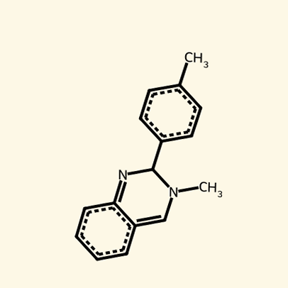 Cc1ccc(C2N=c3ccccc3=CN2C)cc1